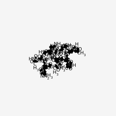 CCCCCCCCC[C@H]1O[C@@H](n2cc(C)c(N)nc2=O)CC1OP(=O)(S)OC[C@H]1O[C@@H](n2cc(C)c(=O)[nH]c2=O)CC1OP(=O)(S)OC[C@H]1O[C@@H](n2cc(C)c(=O)[nH]c2=O)CC1OP(=O)(S)OC[C@H]1O[C@@H](n2cc(C)c(=O)[nH]c2=O)CC1OP(=O)(S)OC[C@H]1O[C@@H](n2cnc3c(N)ncnc32)CC1OP(=O)(S)OC[C@H]1O[C@@H](n2cc(C)c(=O)[nH]c2=O)CC1OP(=O)(O)OC[C@H]1O[C@@H](n2cc(C)c(N)nc2=O)C[C@H]1OP(=O)(O)O